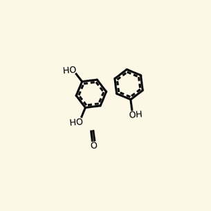 C=O.Oc1cccc(O)c1.Oc1ccccc1